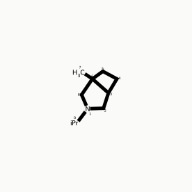 CC(C)N1CC2CCC2(C)C1